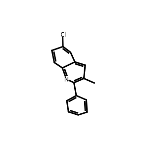 Cc1cc2cc(Cl)ccc2nc1-c1ccccc1